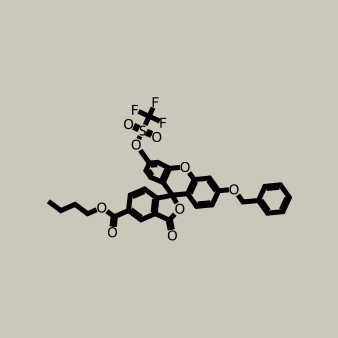 CCCCOC(=O)c1ccc2c(c1)C(=O)OC21c2ccc(OCc3ccccc3)cc2Oc2cc(OS(=O)(=O)C(F)(F)F)ccc21